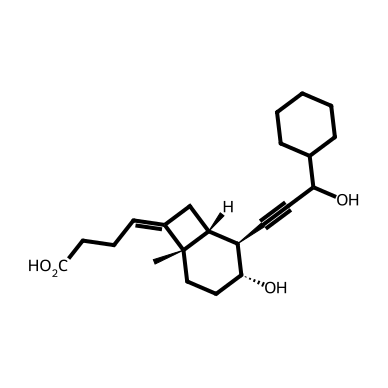 C[C@]12CC[C@@H](O)[C@H](C#CC(O)C3CCCCC3)[C@H]1C/C2=C/CCC(=O)O